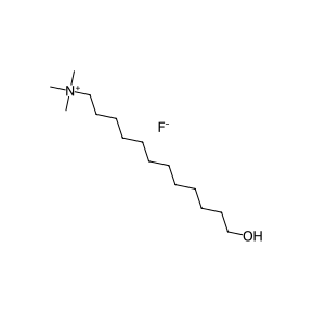 C[N+](C)(C)CCCCCCCCCCCCO.[F-]